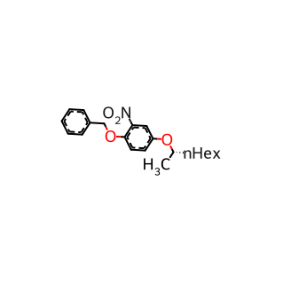 CCCCCC[C@H](C)Oc1ccc(OCc2ccccc2)c([N+](=O)[O-])c1